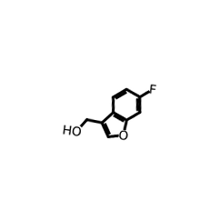 OCc1coc2cc(F)ccc12